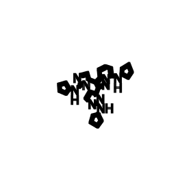 c1cc(NC2CCCC2)n2nc(-c3ccnc(NC4CCCC4)n3)c(-c3ccnc(NC4CCCC4)n3)c2c1